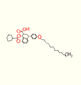 CCCCCCCCCCCCOc1ccc(C2CC(C(=O)O)C(OC(=O)C3CCCCC3)c3ccccc32)cc1